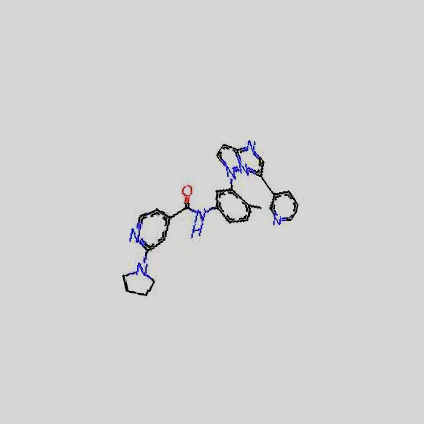 Cc1ccc(NC(=O)c2ccnc(N3CCCC3)c2)cc1-n1ccc2ncc(-c3cccnc3)n21